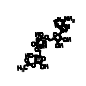 CC(=O)OC1C(O)O[C@H](COP(=O)(O)OP(=O)(O)OC[C@H]2O[C@@H](n3cnc4c(N)ncnc43)C(O)C2O)[C@@H]1O